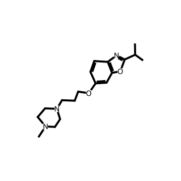 CC(C)c1nc2ccc(OCCCN3CCN(C)CC3)cc2o1